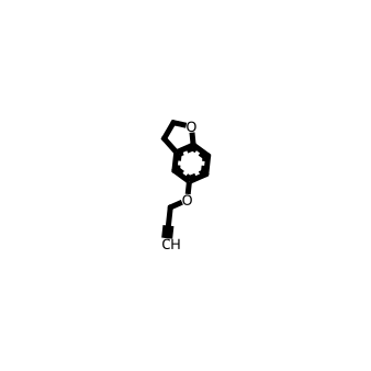 C#CCOc1ccc2c(c1)CCO2